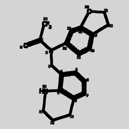 O=C(N(Cc1cccc2c1NCCC2)c1ccc2c(c1)OC[CH]2)C(F)(F)F